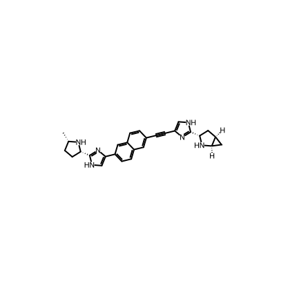 C[C@H]1CC[C@@H](c2nc(-c3ccc4cc(C#Cc5c[nH]c([C@@H]6C[C@H]7C[C@H]7N6)n5)ccc4c3)c[nH]2)N1